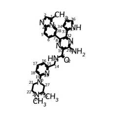 Cc1cnc2ccc(-c3nc(C(=O)NCc4cccc(N5CCN(C)[C@H](C)C5)n4)c(N)nc3-c3ccc[nH]3)cn12